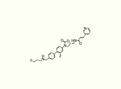 O=C(C=Cc1cccnc1)NC[C@H]1CN(c2ccc(-c3ccc(CNCCCF)cc3)c(F)c2)C(=O)O1